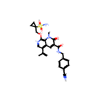 C=C(C)c1cnc(OCC2(S(N)(=O)=O)CC2)c2c1cc(C(=O)NCc1ccc(C#N)cc1)c(=O)n2C